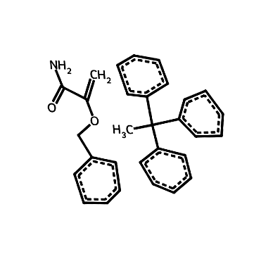 C=C(OCc1ccccc1)C(N)=O.CC(c1ccccc1)(c1ccccc1)c1ccccc1